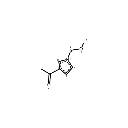 CC(=O)c1ccn(SOI)c1